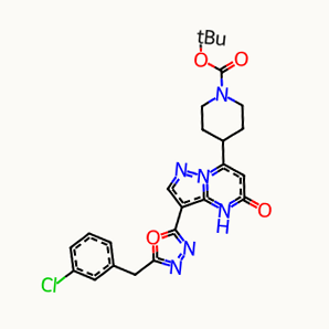 CC(C)(C)OC(=O)N1CCC(c2cc(=O)[nH]c3c(-c4nnc(Cc5cccc(Cl)c5)o4)cnn23)CC1